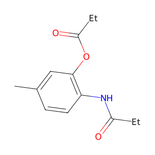 CCC(=O)Nc1ccc(C)cc1OC(=O)CC